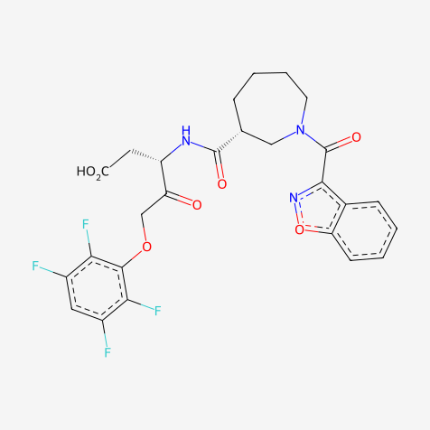 O=C(O)C[C@H](NC(=O)[C@@H]1CCCCN(C(=O)c2noc3ccccc23)C1)C(=O)COc1c(F)c(F)cc(F)c1F